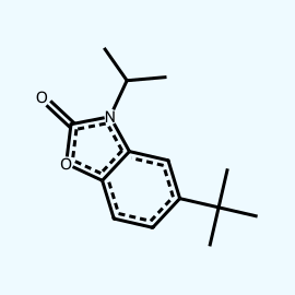 CC(C)n1c(=O)oc2ccc(C(C)(C)C)cc21